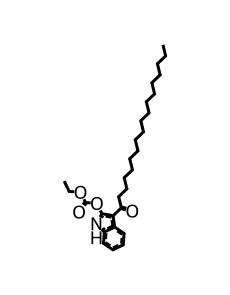 CCCCCCCCCCCCCCCCCC(=O)c1c(OC(=O)OCC)[nH]c2ccccc12